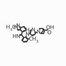 Cc1cccc(C(=N)c2cccc3nn(C)cc23)c1Nc1ccc(N2CC3CCC2CC3C(=O)O)nc1